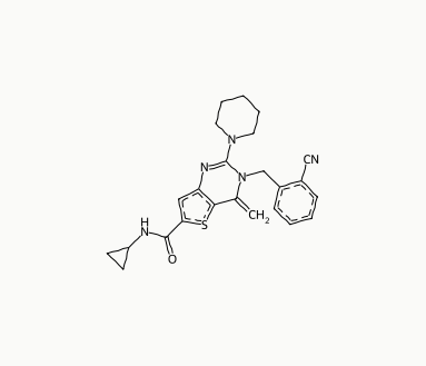 C=C1c2sc(C(=O)NC3CC3)cc2N=C(N2CCCCC2)N1Cc1ccccc1C#N